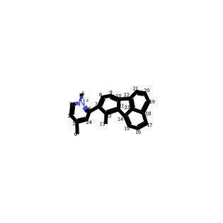 Cc1cc[n+](C)c(-c2ccc3c(c2C)-c2cccc4cccc-3c24)c1